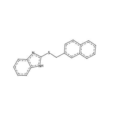 c1ccc2cc(CSc3nc4ccccc4[nH]3)ccc2c1